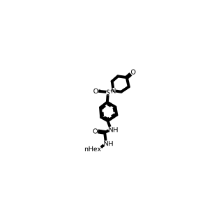 CCCCCCNC(=O)Nc1ccc([S+]([O-])N2CCC(=O)CC2)cc1